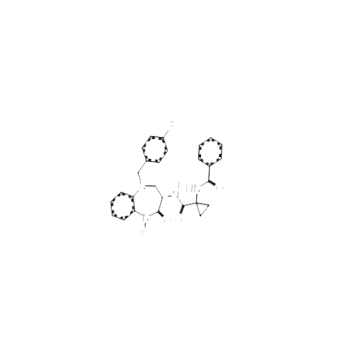 CN1C(=O)[C@H](NC(=O)C2(NC(=O)c3ccccc3)CC2)CN(Cc2ccc(F)cc2)c2ccccc21